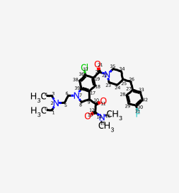 CCN(CC)CCN1CC(C(=O)C(=O)N(C)C)c2cc(C(=O)N3CCC(Cc4ccc(F)cc4)CC3)c(Cl)cc21